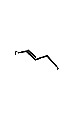 F[CH]/C=C/F